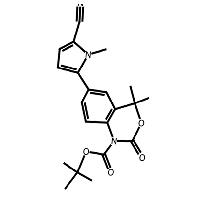 Cn1c(C#N)ccc1-c1ccc2c(c1)C(C)(C)OC(=O)N2C(=O)OC(C)(C)C